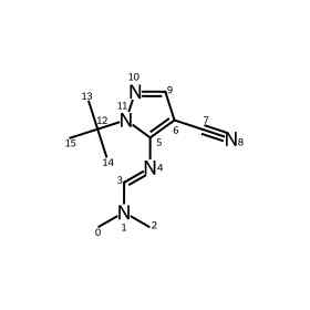 CN(C)C=Nc1c(C#N)cnn1C(C)(C)C